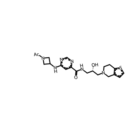 CC(=O)N1CC(Nc2cc(C(=O)NC[C@H](O)CN3CCc4sccc4C3)ncn2)C1